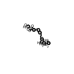 NC1=C(/C=C(\N)c2ccccc2O)N2CCN(CCN3CCC4(CCCN(c5ccc6c(c5)C(=O)N(C5CCC(=O)NC5=O)C6=O)C4)CC3)CC2CN1